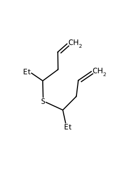 C=CCC(CC)SC(CC)CC=C